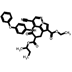 CCOC(=O)c1cn2ncc(C#N)c(Nc3ccc(Oc4ccccc4)cc3)c2c1CC(C(=O)O)C(=O)OC(C)CC